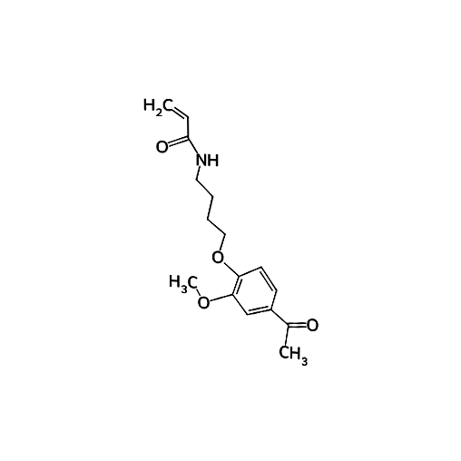 C=CC(=O)NCCCCOc1ccc(C(C)=O)cc1OC